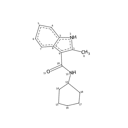 Cc1[nH]c2ccccc2c1C(=O)NC1CCCCC1